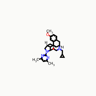 COc1ccc2c(c1)[C@]13CCN(CC4CC4)[C@H](C2)[C@]12CCC1C3[C@@H](CN1c1nc(C)cc(C)n1)C2